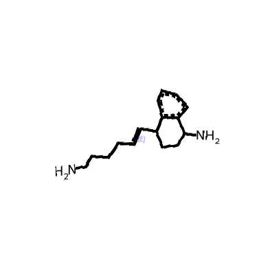 NCCCC/C=C/C1CCC(N)c2ccccc21